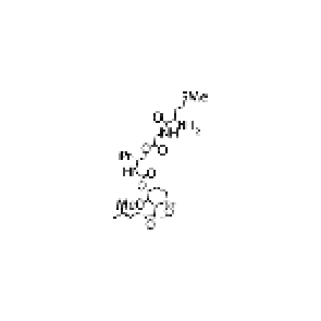 COC1[C@H](OC(=O)N[C@@H](COC(=O)CNC(=O)[C@@H](N)CCSC)C(C)C)CC[C@]2(CO2)[C@H]1[C@@]1(C)O[C@@H]1CC=C(C)C